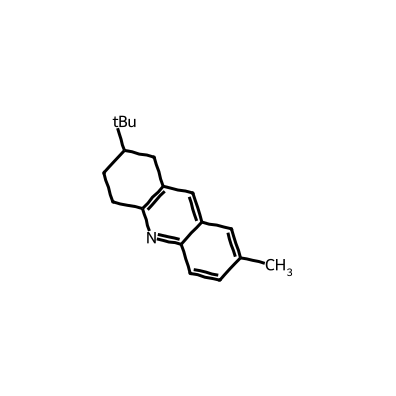 Cc1ccc2nc3c(cc2c1)CC(C(C)(C)C)CC3